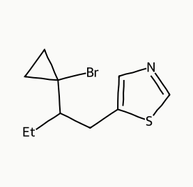 CCC(Cc1cncs1)C1(Br)CC1